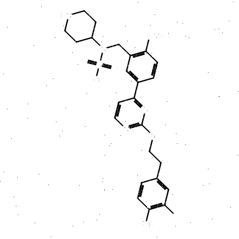 COc1ccc(-c2ccnc(NCCc3ccc(O)c(F)c3)n2)cc1CN(C1CCNCC1)S(C)(=O)=O